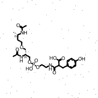 CC(=O)N[C@H](COCC[C@H](C)NC(C)=O)COP(=O)(O)OCCNC(=O)C(Cc1ccc(O)cc1)C(=O)O